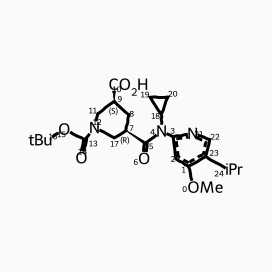 COc1cc(N(C(=O)[C@@H]2C[C@H](C(=O)O)CN(C(=O)OC(C)(C)C)C2)C2CC2)ncc1C(C)C